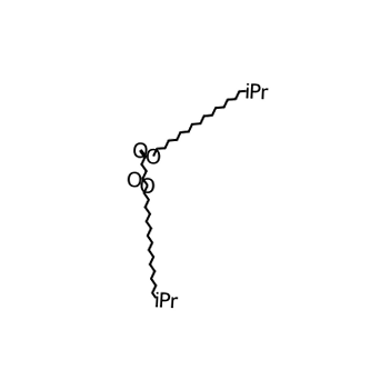 CC(C)CCCCCCCCCCCCCCCOC(=O)CCC(=O)OCCCCCCCCCCCCCCCC(C)C